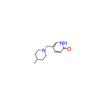 CC1CCN(Cc2ccc(=O)[nH]c2)CC1